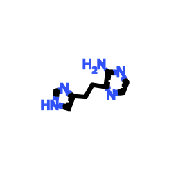 Nc1nccnc1CCc1c[nH]cn1